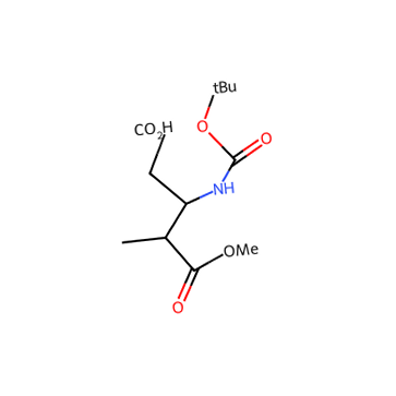 COC(=O)C(C)C(CC(=O)O)NC(=O)OC(C)(C)C